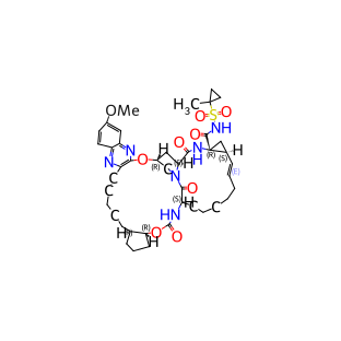 COc1ccc2nc3c(nc2c1)O[C@@H]1C[C@H]2C(=O)N[C@]4(C(=O)NS(=O)(=O)C5(C)CC5)C[C@H]4/C=C/CCCCC[C@H](NC(=O)O[C@@H]4CCC[C@H]4CCCCC3)C(=O)N2C1